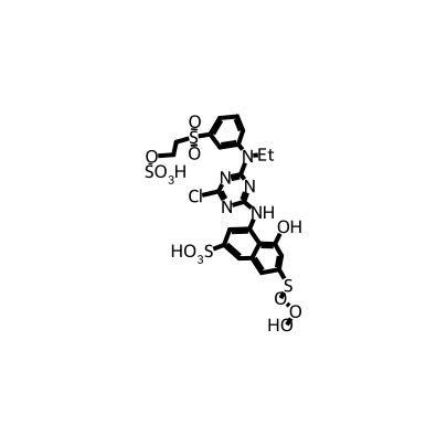 CCN(c1cccc(S(=O)(=O)CCOS(=O)(=O)O)c1)c1nc(Cl)nc(Nc2cc(S(=O)(=O)O)cc3cc(SOOO)cc(O)c23)n1